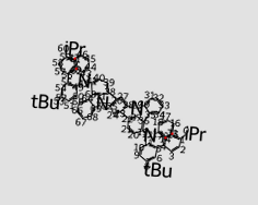 CC(C)c1ccc(-c2cc(C(C)(C)C)ccc2N(c2ccccc2)c2ccc3c4cc5c(cc4n4c6ccccc6c2c34)c2ccc(N(c3ccccc3)c3ccc(C(C)(C)C)cc3-c3ccc(C(C)C)cc3)c3c4ccccc4n5c23)cc1